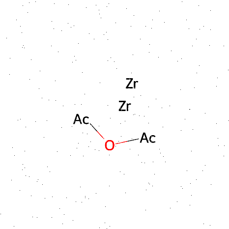 CC(=O)OC(C)=O.[Zr].[Zr]